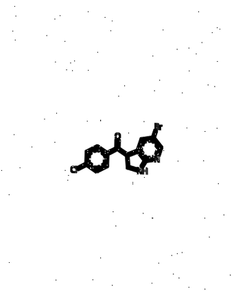 O=C(c1ccc(Cl)cc1)C1CNc2ncc(Br)cc21